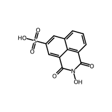 O=C1c2cccc3cc(S(=O)(=O)O)cc(c23)C(=O)N1O